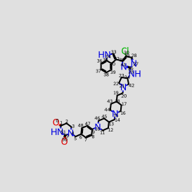 O=C1CCN(Cc2ccc(N3CCC(CN4CCC(CCN5CC[C@@H](Nc6ncc(Cl)c(-c7c[nH]c8ccccc78)n6)C5)CC4)CC3)cc2)C(=O)N1